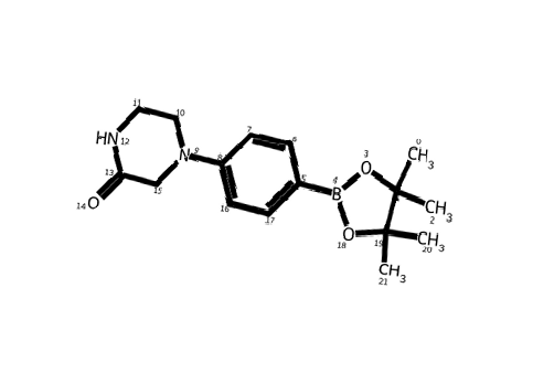 CC1(C)OB(c2ccc(N3CCNC(=O)C3)cc2)OC1(C)C